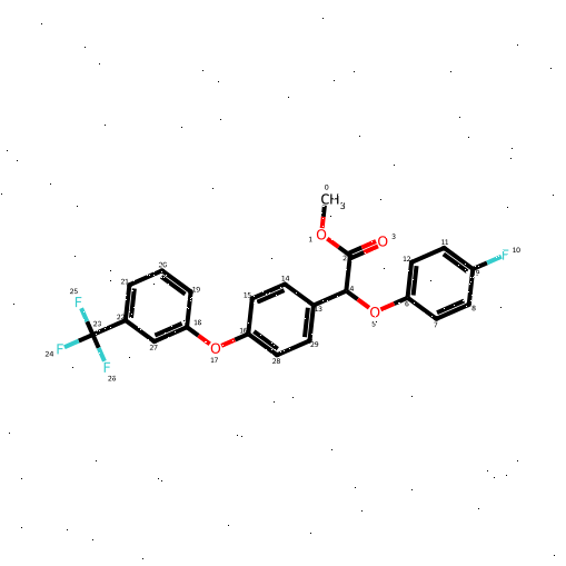 COC(=O)C(Oc1ccc(F)cc1)c1ccc(Oc2cccc(C(F)(F)F)c2)cc1